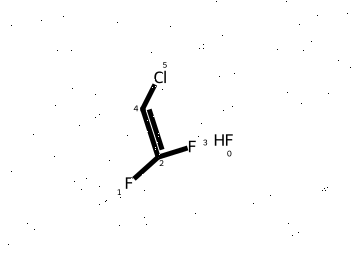 F.FC(F)=CCl